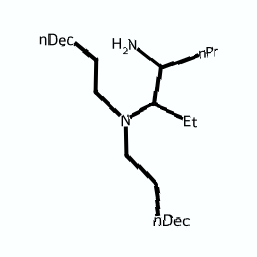 CCCCCCCCCCCCN(CCCCCCCCCCCC)C(CC)C(N)CCC